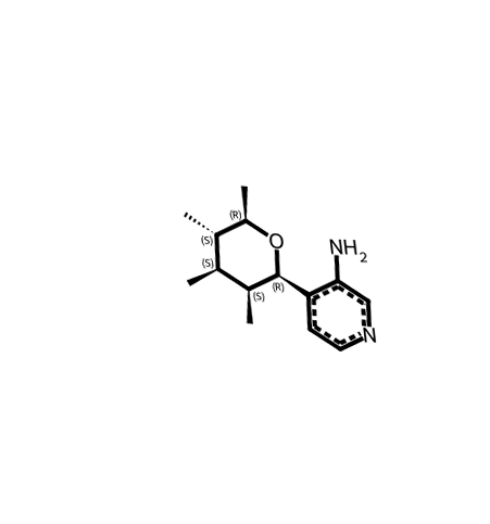 C[C@H]1[C@H](C)[C@@H](C)O[C@@H](c2ccncc2N)[C@H]1C